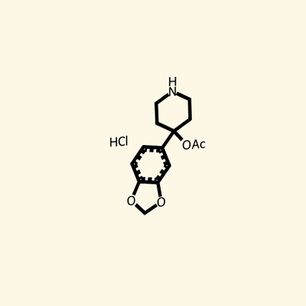 CC(=O)OC1(c2ccc3c(c2)OCO3)CCNCC1.Cl